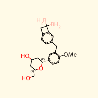 BC1(B)Cc2ccc(Cc3cc([C@H]4CC(O)C[C@@H](CO)O4)ccc3OC)cc21